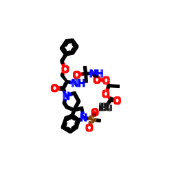 CCC(C)C(=O)OC(C)OONC(C)(C)ON[C@H](COCc1ccccc1)C(=O)N1CCC2(CC1)CN(S(C)(=O)=O)c1ccccc12